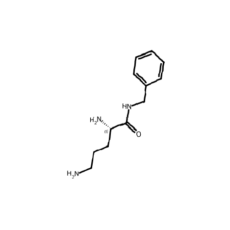 NCCC[C@H](N)C(=O)NCc1ccccc1